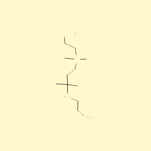 CC(C)CCOC(C)(C)CCS(C)(C)CCC(C)(C)C